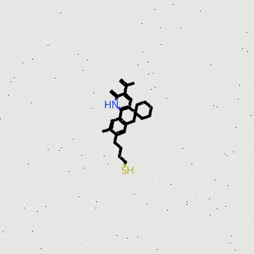 C=C(C)C1=CC2=C(NC1=C)c1cc(C)c(CCCCS)cc1CC21CCCCC1